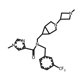 CN1CC(N2CC3C(CN(Cc4cccc(C(F)(F)F)c4)C(=O)c4cn(C)cn4)C3C2)C1